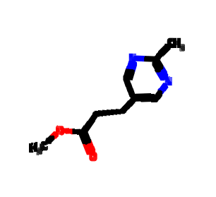 COC(=O)CCc1cnc(C)nc1